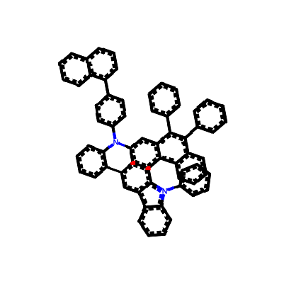 c1ccc(-c2c(-c3ccccc3)c3cc(N(c4ccc(-c5cccc6ccccc56)cc4)c4ccccc4-c4ccc5c(c4)c4ccccc4n5-c4ccccc4)ccc3c3ccccc23)cc1